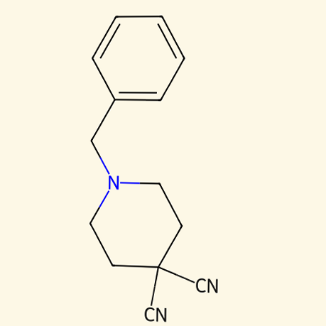 N#CC1(C#N)CCN(Cc2ccccc2)CC1